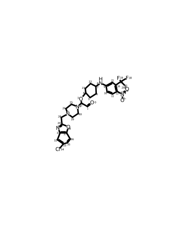 O=CC(OC1CCC(Nc2ccc([N+](=O)[O-])c(C(F)(F)F)c2)CC1)N1CCN(Cc2nc3cc(Cl)ccc3o2)CC1